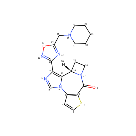 O=C1c2sccc2-n2cnc(-c3noc(CN4CCCCC4)n3)c2[C@@H]2CCN12